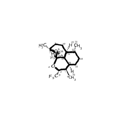 C[C@H]1[C@H](C(F)(F)F)O[C@@H]2O[C@]3(C)CC[C@H]4[C@H](C)CC[C@@H]1[C@@]24OO3